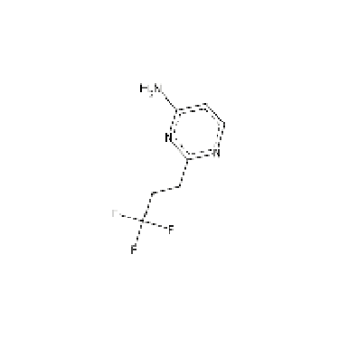 Nc1ccnc(CCC(F)(F)F)n1